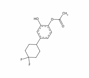 CC(=O)Oc1ccc(C2CCC(F)(F)CC2)cc1O